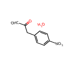 O.O=CC(=O)Cc1ccc([N+](=O)[O-])cc1